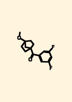 COC12CCC(C(=O)c3cc(F)cc(F)c3)(CC1)C2